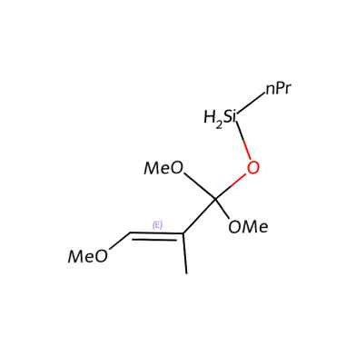 CCC[SiH2]OC(OC)(OC)/C(C)=C/OC